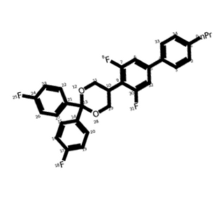 CCCc1ccc(-c2cc(F)c(C3COC(c4ccc(F)cc4)(c4ccc(F)cc4)OC3)c(F)c2)cc1